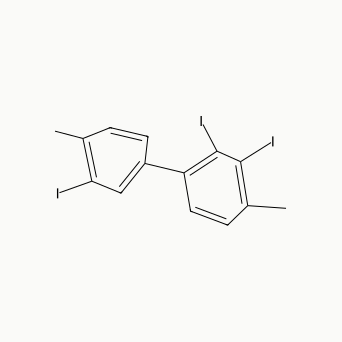 Cc1ccc(-c2ccc(C)c(I)c2I)cc1I